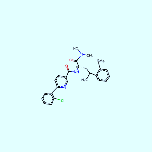 COc1ccccc1C(C)C[C@H](NC(=O)c1ccc(-c2ccccc2Cl)nc1)C(=O)N(C)C#N